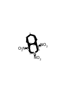 O=[N+]([O-])N1C2CC3CC4CC2N([N+](=O)[O-])C4N([N+](=O)[O-])C31